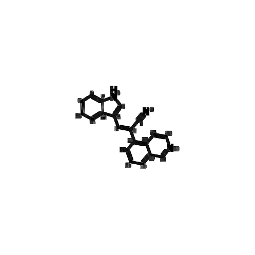 N#C/C(=C\c1c[nH]c2ccccc12)c1cccc2cnccc12